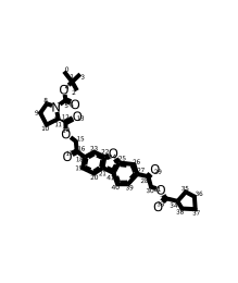 CC(C)(C)OC(=O)N1CCC[C@@H]1C(=O)OCC(=O)c1ccc2c(c1)oc1cc(C(=O)COC(=O)C3CCCC3)ccc12